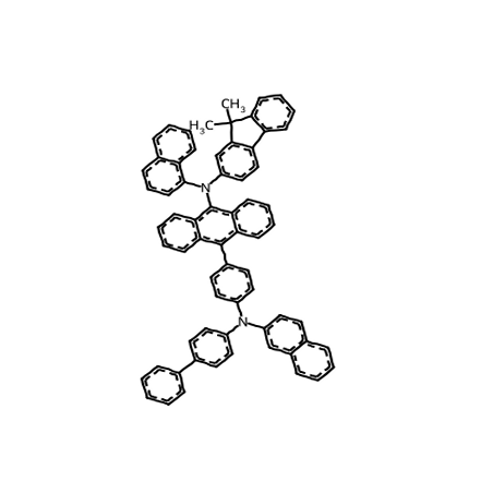 CC1(C)c2ccccc2-c2ccc(N(c3cccc4ccccc34)c3c4ccccc4c(-c4ccc(N(c5ccc(-c6ccccc6)cc5)c5ccc6ccccc6c5)cc4)c4ccccc34)cc21